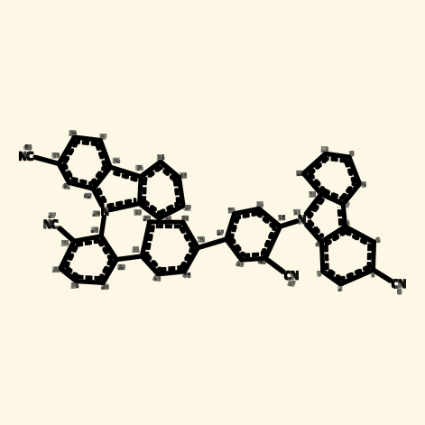 N#Cc1ccc2c(c1)c1ccccc1n2-c1ccc(-c2ccc(-c3cccc(C#N)c3-n3c4ccccc4c4ccc(C#N)cc43)cc2)cc1C#N